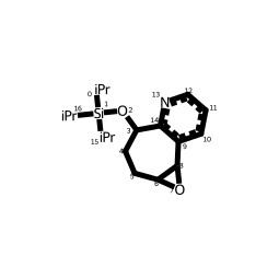 CC(C)[Si](OC1CCC2OC2c2cccnc21)(C(C)C)C(C)C